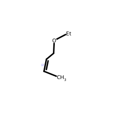 C/C=C\COCC